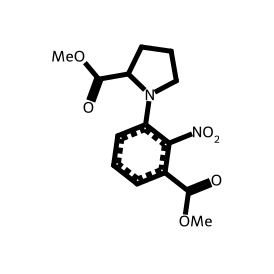 COC(=O)c1cccc(N2CCCC2C(=O)OC)c1[N+](=O)[O-]